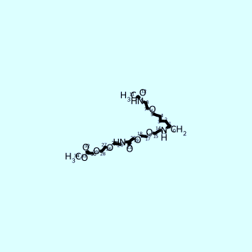 C=C(CCCCOCCNC(C)=O)NCCOCCOCC(=O)NCCOCCOCC(=O)OC